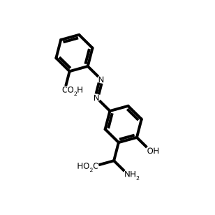 NC(C(=O)O)c1cc(/N=N/c2ccccc2C(=O)O)ccc1O